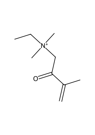 C=C(C)C(=O)C[N+](C)(C)CC